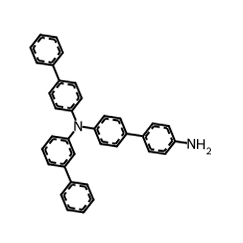 Nc1ccc(-c2ccc(N(c3ccc(-c4ccccc4)cc3)c3cccc(-c4ccccc4)c3)cc2)cc1